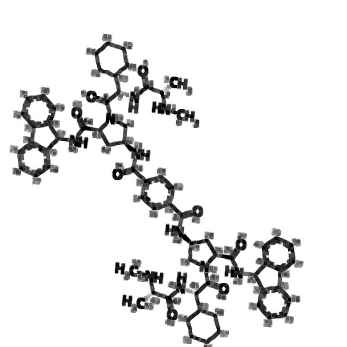 CN[C@@H](C)C(=O)N[C@H](C(=O)N1C[C@@H](NC(=O)c2ccc(C(=O)N[C@H]3C[C@@H](C(=O)NC4c5ccccc5-c5ccccc54)N(C(=O)[C@@H](NC(=O)[C@H](C)NC)C4CCCCC4)C3)cc2)C[C@H]1C(=O)NC1c2ccccc2-c2ccccc21)C1CCCCC1